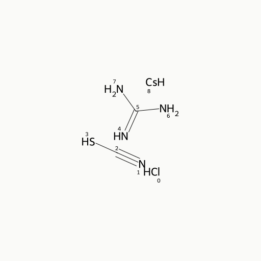 Cl.N#CS.N=C(N)N.[CsH]